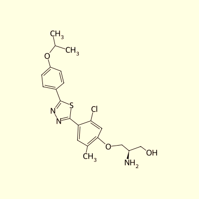 Cc1cc(-c2nnc(-c3ccc(OC(C)C)cc3)s2)c(Cl)cc1OC[C@H](N)CO